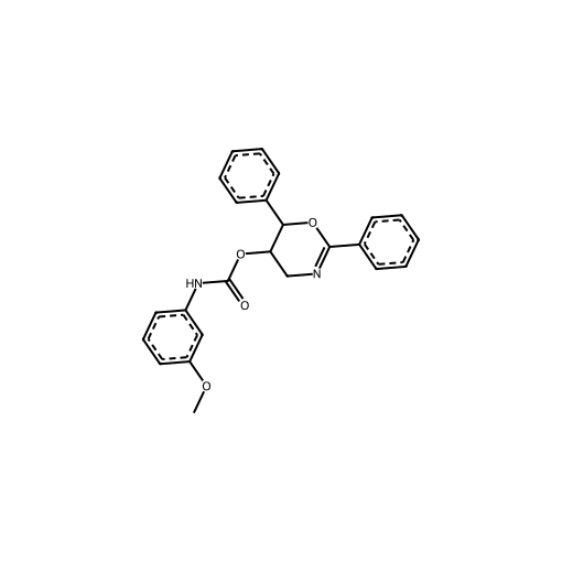 COc1cccc(NC(=O)OC2CN=C(c3ccccc3)OC2c2ccccc2)c1